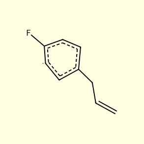 C=CCc1c[c]c(F)cc1